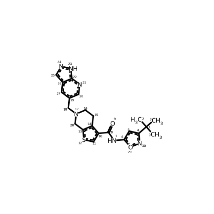 CC(C)(C)c1cc(NC(=O)c2csc3c2CCN(Cc2cnc4[nH]ncc4c2)C3)on1